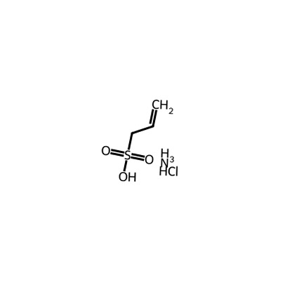 C=CCS(=O)(=O)O.Cl.N